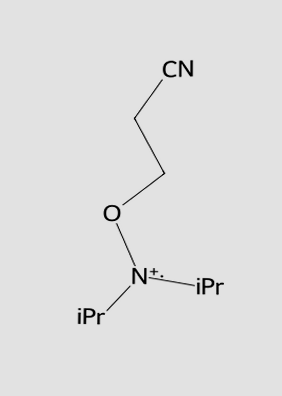 CC(C)[N+](OCCC#N)C(C)C